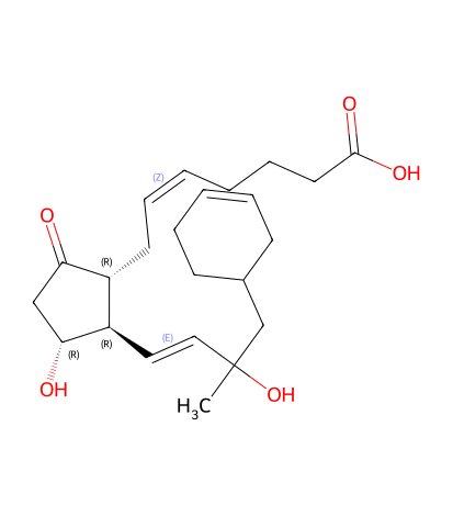 CC(O)(/C=C/[C@H]1[C@H](O)CC(=O)[C@@H]1C/C=C\CCCC(=O)O)CC1CC=CCC1